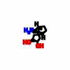 N[C@H]1[C@H]2CC[C@H](C2)C12CC(O)[C@H](O)C2